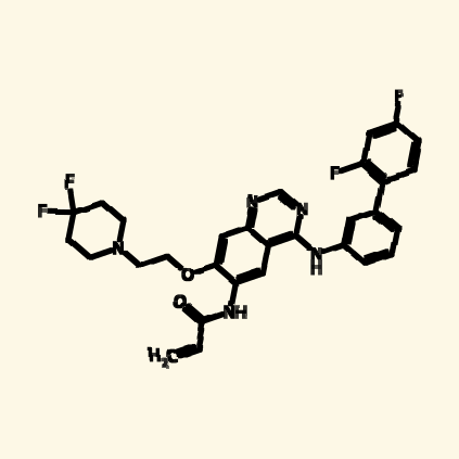 C=CC(=O)Nc1cc2c(Nc3cccc(-c4ccc(F)cc4F)c3)ncnc2cc1OCCN1CCC(F)(F)CC1